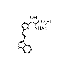 CCOC(=O)C(NC(C)=O)C(O)c1ccc(C=Cc2csc3ccccc23)s1